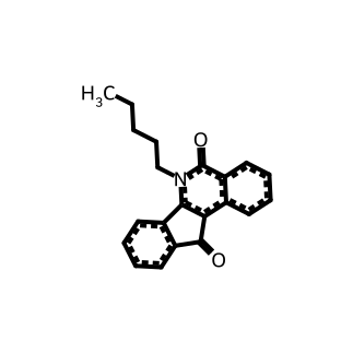 CCCCCn1c2c(c3ccccc3c1=O)C(=O)c1ccccc1-2